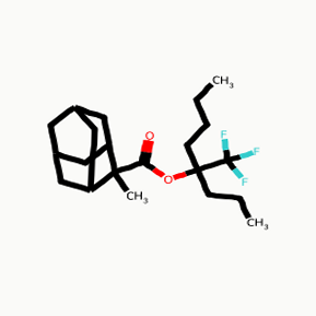 CCCCC(CCC)(OC(=O)C1(C)C2CC3CC(C2)CC1C3)C(F)(F)F